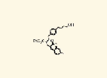 CCOC(=O)C(CCc1ccc(CCCCO)cc1)Cc1cc2ccc(C)cc2oc1=O